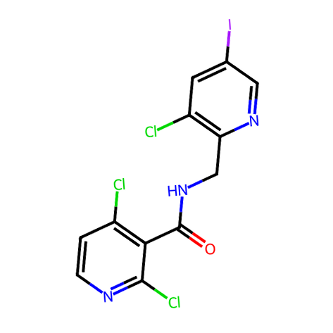 O=C(NCc1ncc(I)cc1Cl)c1c(Cl)ccnc1Cl